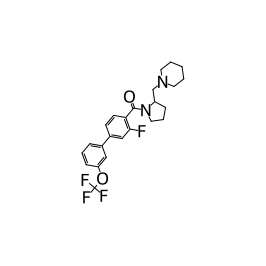 O=C(c1ccc(-c2cccc(OC(F)(F)F)c2)cc1F)N1CCCC1CN1CCCCC1